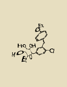 CCOc1ccc(Cc2cc(C(OC(CC)CO)C(O)CO)ccc2Cl)cc1